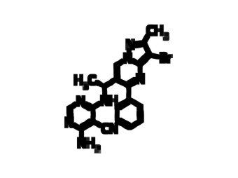 Cc1nn2cc([C@H](C)Nc3ncnc(N)c3C#N)c(-c3ccccc3)nc2c1Br